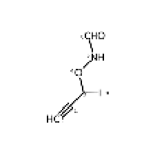 C#CC(I)ONC=O